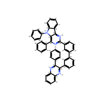 c1ccc(-c2nc3ccccc3nc2-c2cccc(-c3cccc(-c4nc(-c5ccccc5)c5c(n4)c4ccccc4n5-c4ccccc4)c3)c2)cc1